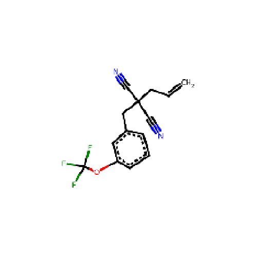 C=CCC(C#N)(C#N)Cc1cccc(OC(F)(F)F)c1